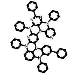 c1ccc(-c2ccc3c(c2)N(c2ccccc2)c2cccc4c2B3c2cc3c(nc2N4c2ccccc2)N(c2ccccc2)c2nc(-c4ccccc4)nc4c2B3c2cnccc2N4c2ccccc2)cc1